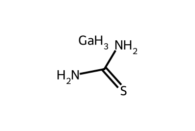 NC(N)=S.[GaH3]